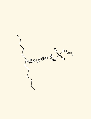 CCCCCCCCCCCC.O.O.O.O.O.O.O=S(=O)(O)O.[AlH3]